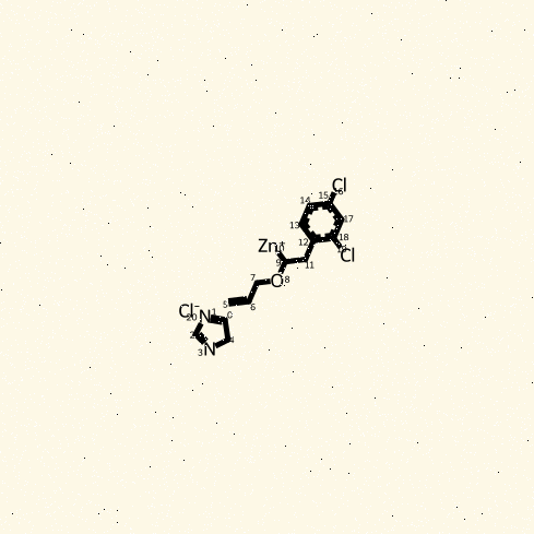 C1=NC=NC1.C=CCO[CH]([Zn+])Cc1ccc(Cl)cc1Cl.[Cl-]